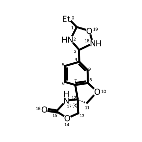 CCC1NC(c2ccc3c(c2)OC[C@@]32COC(=O)N2)NO1